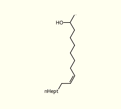 [CH2]C(O)CCCCCC/C=C\CCCCCCCC